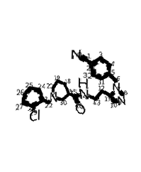 N#Cc1ccc(Cn2cncc2CCNC(=O)C2CCCN(Cc3ccccc3Cl)C2)cc1